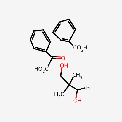 CC(C)C(O)C(C)(C)CO.O=C(O)C(=O)c1ccccc1.O=C(O)c1ccccc1